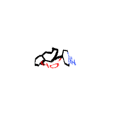 OC1(c2cccc3ccccc23)CCNCC1